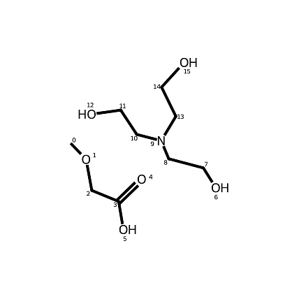 COCC(=O)O.OCCN(CCO)CCO